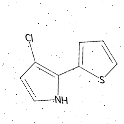 Clc1cc[nH]c1-c1cccs1